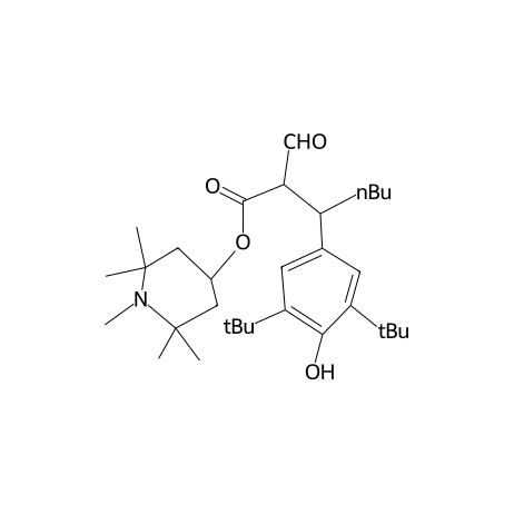 CCCCC(c1cc(C(C)(C)C)c(O)c(C(C)(C)C)c1)C(C=O)C(=O)OC1CC(C)(C)N(C)C(C)(C)C1